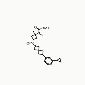 COC(=O)N(C)[C@]1(C)C[C@H]([S+]([O-])N2CC3(CC(c4cccc(C5CC5)c4)C3)C2)C1